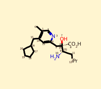 Cc1cnc(C[C@](O)(C(=O)O)[C@@H](N)CC(C)C)cc1CC1CCCC1